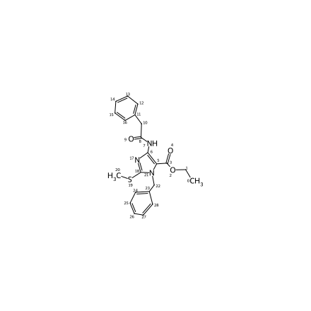 CCOC(=O)c1c(NC(=O)Cc2ccccc2)nc(SC)n1Cc1ccccc1